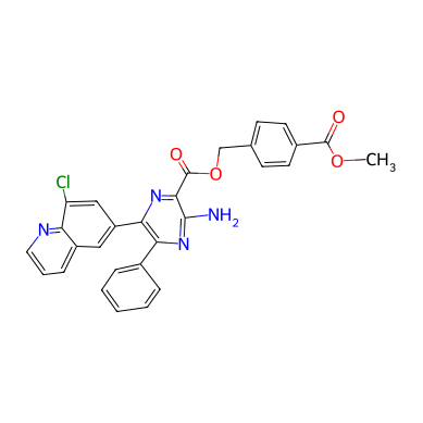 COC(=O)c1ccc(COC(=O)c2nc(-c3cc(Cl)c4ncccc4c3)c(-c3ccccc3)nc2N)cc1